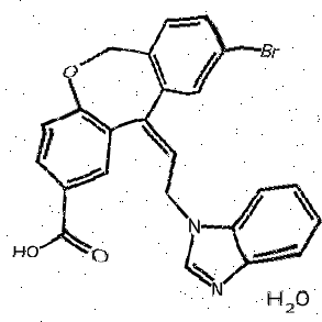 O.O=C(O)c1ccc2c(c1)/C(=C\Cn1cnc3ccccc31)c1cc(Br)ccc1CO2